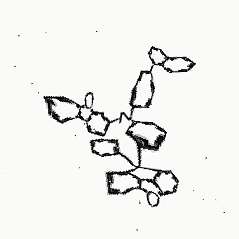 c1ccc(C2(c3cccc(N(c4ccc(-c5cccc6ccccc56)cc4)c4ccc5c(c4)oc4ccccc45)c3)c3cccc4oc5cccc2c5c34)cc1